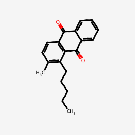 CCCCCc1c(C)ccc2c1C(=O)c1ccccc1C2=O